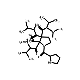 CNC(C(=O)C1(C(=O)O)N(C(=O)C2CCCN2)CCC1(C(=O)C(N)C(C)C)C(=O)C(C(C)C)N(C)C)C(C)C